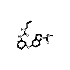 C=CCNC(=O)Nc1cc(Oc2ccc3c(ccn3C(=O)NC)c2)ccn1